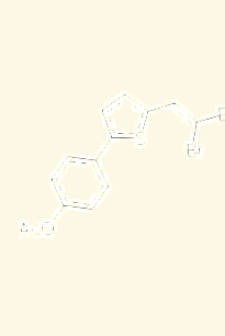 CC(=O)Oc1ccc(-c2ccc(C=C(Br)Br)s2)cc1